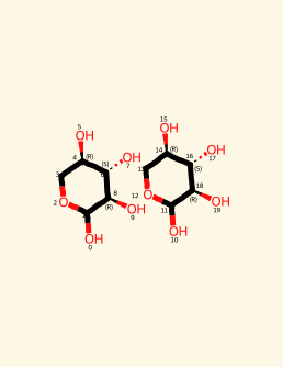 OC1OC[C@@H](O)[C@H](O)[C@H]1O.OC1OC[C@@H](O)[C@H](O)[C@H]1O